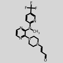 CN(c1ccc(C(F)(F)F)cn1)c1nccnc1N1CCN(C=CC=O)CC1